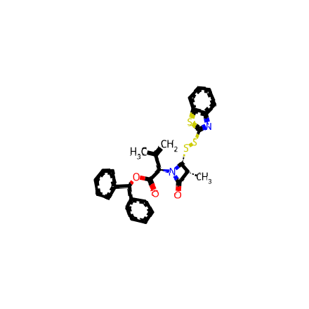 C=C(C)[C@H](C(=O)OC(c1ccccc1)c1ccccc1)N1C(=O)[C@@H](C)[C@H]1SSc1nc2ccccc2s1